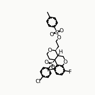 Cc1ccc(S(=O)(=O)OCC[C@@H]2OCC[C@@]3(S(=O)(=O)c4ccc(Cl)cc4)c4c(F)ccc(F)c4OC[C@@H]23)cc1